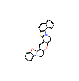 C1=C2OC3=CCN4C(=C3C=C2c2sc3ccc5ccccc5c3[n+]2C1)Oc1ccccc14